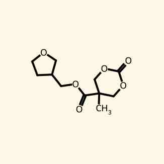 CC1(C(=O)OCC2CCOC2)COC(=O)OC1